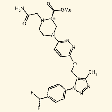 COC(=O)[C@H]1CN(c2ccc(OCc3c(C)nnn3-c3ccc(C(F)F)cc3)nn2)CCN1CC(N)=O